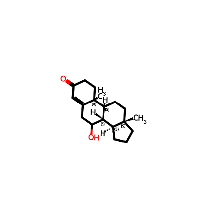 C[C@@]12CCC[C@H]1[C@@H]1C(O)CC3=CC(=O)CC[C@]3(C)[C@H]1CC2